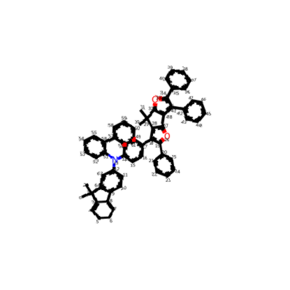 CC1(C)C2=CCCC=C2c2ccc(N(c3ccc(-c4c(-c5ccccc5)oc5c4C(C)(C)c4oc(-c6ccccc6)c(-c6ccccc6)c4-5)cc3)c3ccccc3-c3ccccc3)cc21